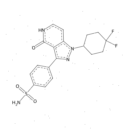 NS(=O)(=O)c1ccc(-c2nn(C3CCC(F)(F)CC3)c3cc[nH]c(=O)c23)cc1